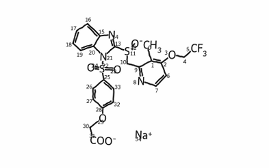 Cc1c(OCC(F)(F)F)ccnc1C[S+]([O-])c1nc2ccccc2n1S(=O)(=O)c1ccc(OCC(=O)[O-])cc1.[Na+]